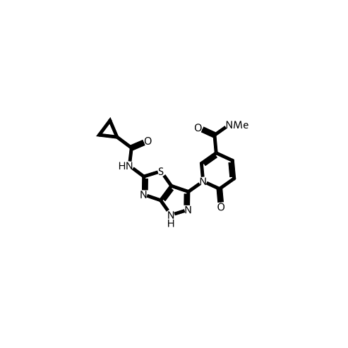 CNC(=O)c1ccc(=O)n(-c2n[nH]c3nc(NC(=O)C4CC4)sc23)c1